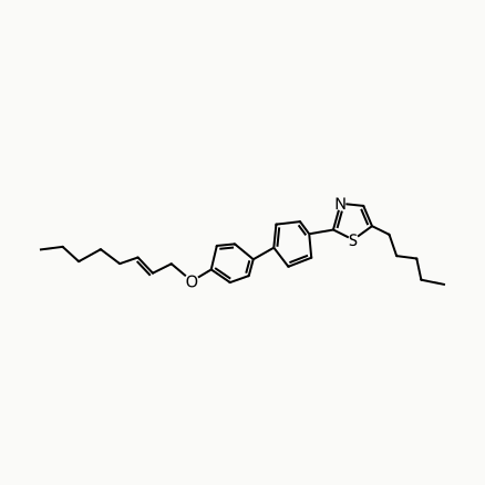 CCCCC/C=C/COc1ccc(-c2ccc(-c3ncc(CCCCC)s3)cc2)cc1